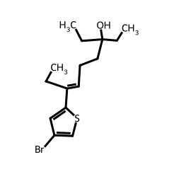 CC/C(=C\CCC(O)(CC)CC)c1cc(Br)cs1